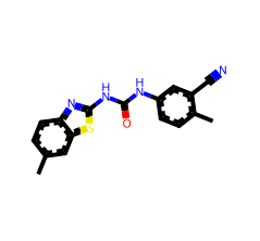 Cc1ccc2nc(NC(=O)Nc3ccc(C)c(C#N)c3)sc2c1